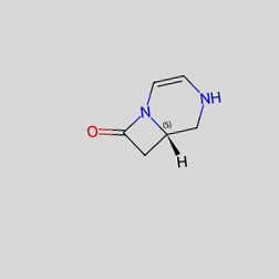 O=C1C[C@H]2CNC=CN12